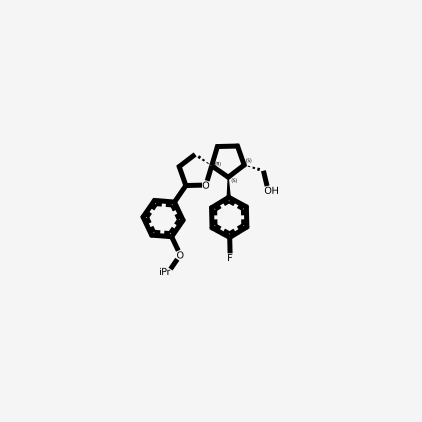 CC(C)Oc1cccc(C2CC[C@@]3(CC[C@H](CO)[C@H]3c3ccc(F)cc3)O2)c1